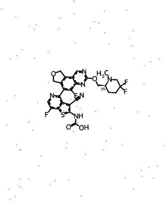 CN1CC(F)(F)CC[C@H]1COc1ncc2c3c(c(-c4ncc(F)c5sc(NC(=O)O)c(C#N)c45)c(F)c2n1)COC3